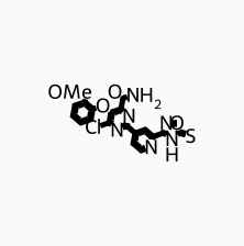 COc1ccccc1Oc1c(Cl)nc(-c2ccnc(-c3noc(=S)[nH]3)c2)nc1C(N)=O